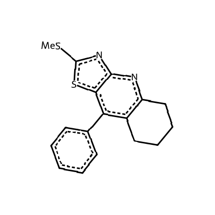 CSc1nc2nc3c(c(-c4ccccc4)c2s1)CCCC3